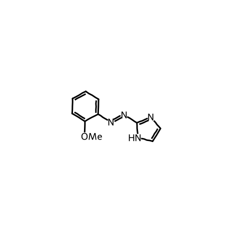 COc1ccccc1N=Nc1ncc[nH]1